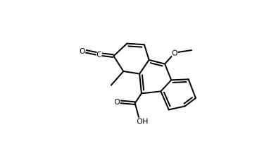 COc1c2c(c(C(=O)O)c3ccccc13)C(C)C(=C=O)C=C2